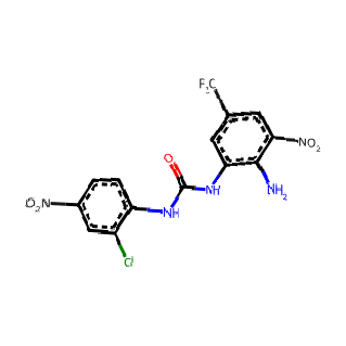 Nc1c(NC(=O)Nc2ccc([N+](=O)[O-])cc2Cl)cc(C(F)(F)F)cc1[N+](=O)[O-]